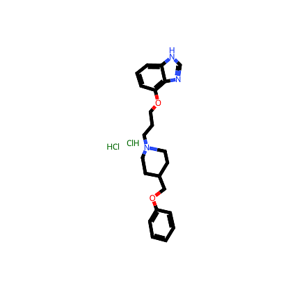 Cl.Cl.c1ccc(OCC2CCN(CCCOc3cccc4[nH]cnc34)CC2)cc1